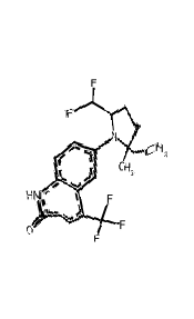 CC1(C)CCC(C(F)F)N1c1ccc2[nH]c(=O)cc(C(F)(F)F)c2c1